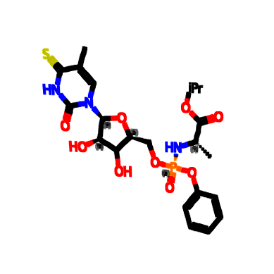 Cc1cn([C@H]2O[C@@H](CO[P@@](=O)(N[C@@H](C)C(=O)OC(C)C)Oc3ccccc3)C(O)[C@H]2O)c(=O)[nH]c1=S